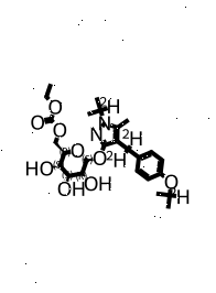 [2H]C(C)(C)Oc1ccc(C([2H])([2H])c2c(O[C@@H]3O[C@H](COC(=O)OCC)[C@@H](O)[C@H](O)[C@H]3O)nn(C([2H])(C)C)c2C)cc1